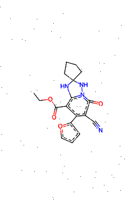 CCOC(=O)c1c(-c2ccco2)c(C#N)c(=O)n2c1NC1(CCCC1)N2